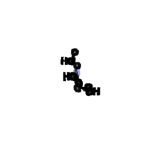 O=C(O)CCc1ccccc1OCC[C@@H](O)/C=C/c1cccc(C(O)CCc2ccccc2)c1